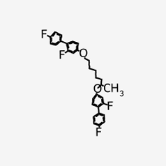 CC(CCCCCCOc1ccc(-c2ccc(F)cc2)c(F)c1)Oc1ccc(-c2ccc(F)cc2)c(F)c1